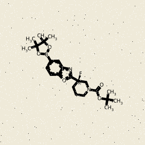 CC(C)(C)OC(=O)N1CCC[C@](F)(c2nc3cc(B4OC(C)(C)C(C)(C)O4)ccc3o2)C1